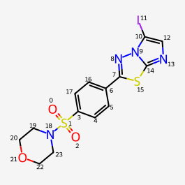 O=S(=O)(c1ccc(-c2nn3c(I)cnc3s2)cc1)N1CCOCC1